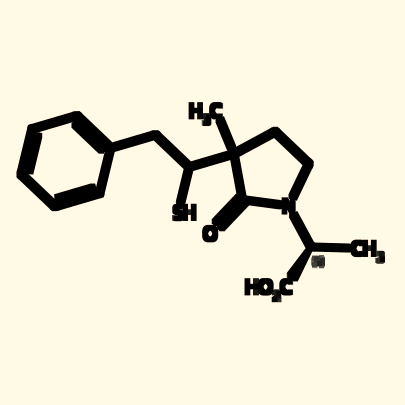 C[C@@H](C(=O)O)N1CCC(C)(C(S)Cc2ccccc2)C1=O